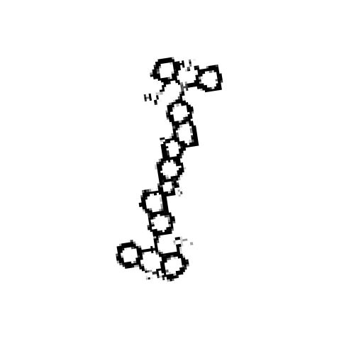 Cc1ccccc1N(c1ccc2c(ccc3c4cc5sc6c7ccc(N(c8ccccc8C)c8ccccc8C)cc7ccc6c5cc4sc23)c1)c1ccccc1C